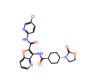 O=C(Nc1ccc(Cl)cn1)c1oc2cccnc2c1NC(=O)[C@H]1CC[C@H](N2CCOC2=O)CC1